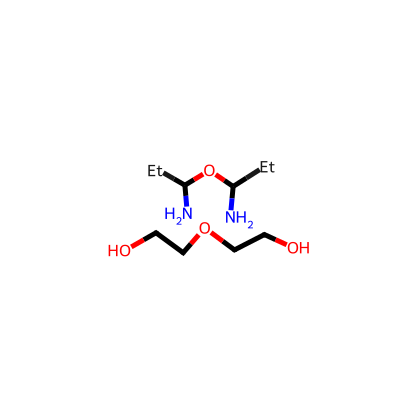 CCC(N)OC(N)CC.OCCOCCO